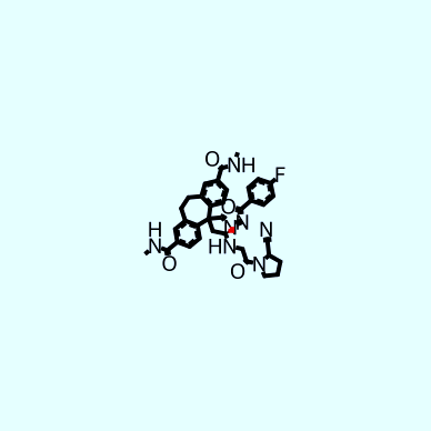 CNC(=O)c1ccc2c(c1)CCc1cc(C(=O)NC)ccc1C2(C[C@@H](C)NCC(=O)N1CCCC1C#N)c1nnc(-c2ccc(F)cc2)o1